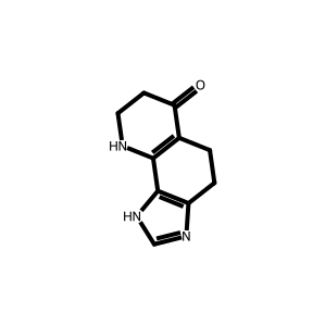 O=C1CCNC2=C1CCc1nc[nH]c12